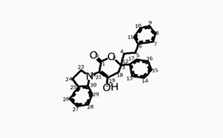 O=C1OC(CCc2ccccc2)(c2ccccc2)CC(O)=C1N1CCc2ccccc21